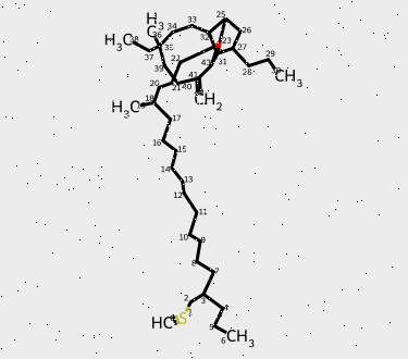 C#SCC(CCC)CCCCCCCCCCCC(C)CCCC1CC2CC(CCC)C3C2CCC(C)(CC)CCC(=C)C13